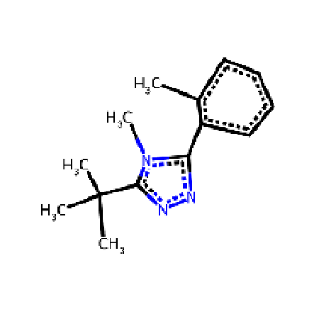 Cc1ccccc1-c1nnc(C(C)(C)C)n1C